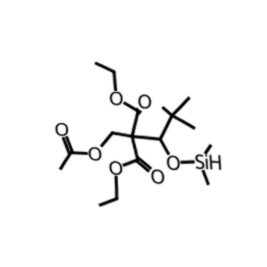 CCOC(=O)C(COC(C)=O)(C(=O)OCC)C(O[SiH](C)C)C(C)(C)C